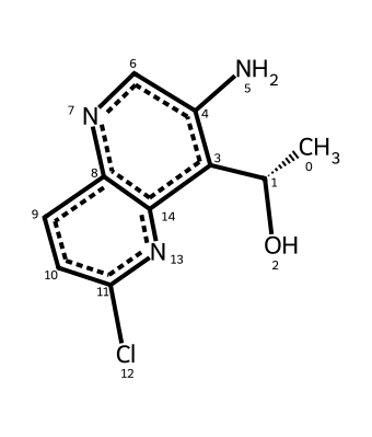 C[C@H](O)c1c(N)cnc2ccc(Cl)nc12